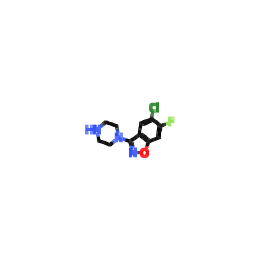 Fc1cc2onc(N3CCNCC3)c2cc1Cl